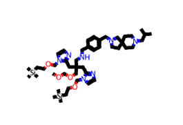 COCOCC(CNCc1ccc(CN2CCC3(CCN(CC(C)C)CC3)C2)cc1)(Cc1nccn1COCC[Si](C)(C)C)Cc1nccn1COCC[Si](C)(C)C